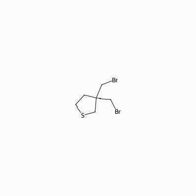 BrCC1(CBr)CCSC1